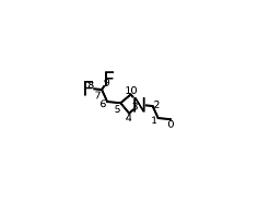 CCCN1CC(CC(F)F)C1